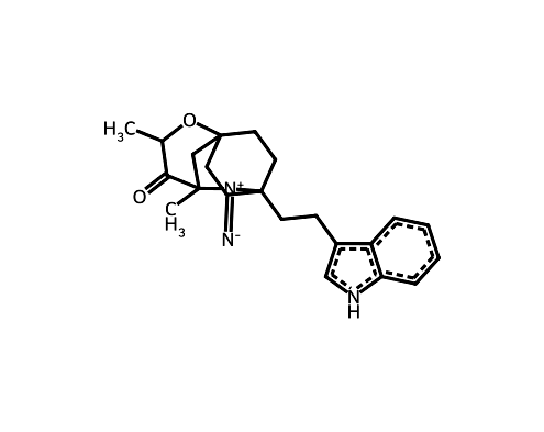 CC1OC23CCC(CCc4c[nH]c5ccccc45)(CC2)[N+](=[N-])C(C)(C3)C1=O